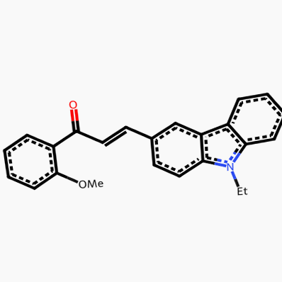 CCn1c2ccccc2c2cc(/C=C/C(=O)c3ccccc3OC)ccc21